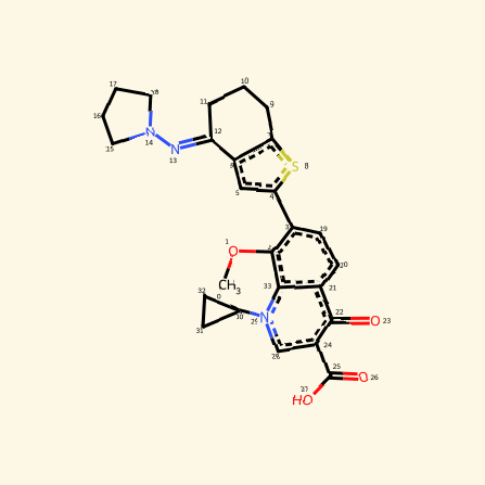 COc1c(-c2cc3c(s2)CCCC3=NN2CCCC2)ccc2c(=O)c(C(=O)O)cn(C3CC3)c12